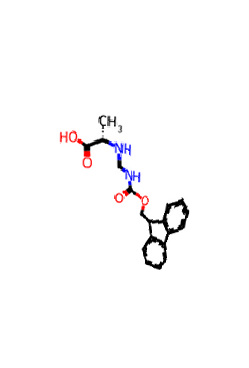 C[C@H](NCNC(=O)OCC1c2ccccc2-c2ccccc21)C(=O)O